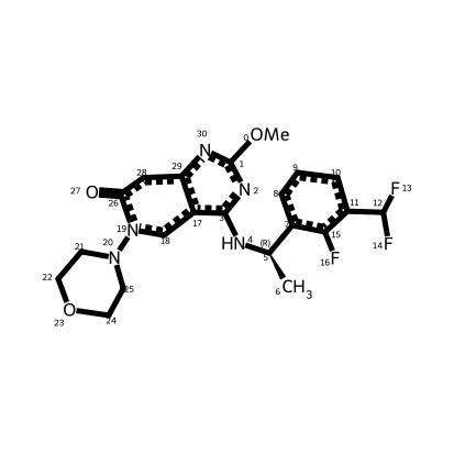 COc1nc(N[C@H](C)c2cccc(C(F)F)c2F)c2cn(N3CCOCC3)c(=O)cc2n1